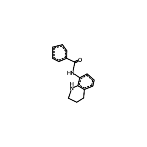 O=C(Nc1cccc2c1NCCC2)c1ccccc1